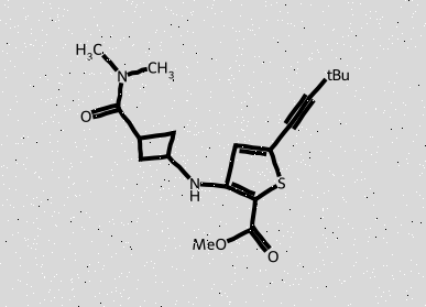 COC(=O)c1sc(C#CC(C)(C)C)cc1NC1CC(C(=O)N(C)C)C1